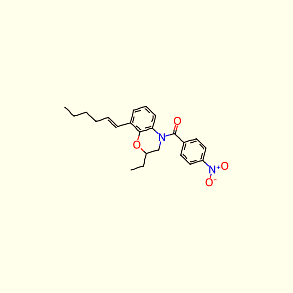 CCCC/C=C/c1cccc2c1OC(CC)CN2C(=O)c1ccc([N+](=O)[O-])cc1